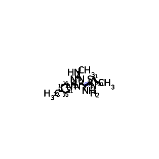 CNc1nc(/C(N)=C2/NC(C)=CS2)nc(N2CCC(C)CC2)n1